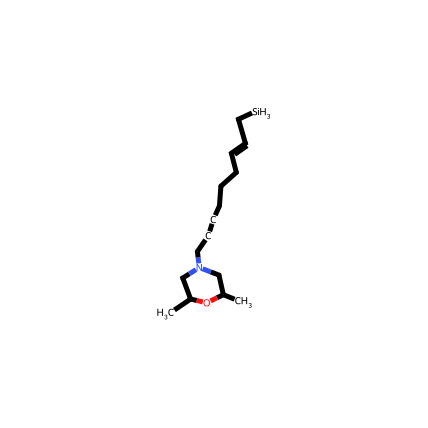 CC1CN(CCCCCCC=CC[SiH3])CC(C)O1